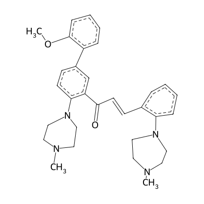 COc1ccccc1-c1ccc(N2CCN(C)CC2)c(C(=O)C=Cc2ccccc2N2CCN(C)CC2)c1